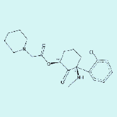 CN[C@]1(c2ccccc2Cl)CCC[C@H](OC(=O)CN2CCCCC2)C1=O